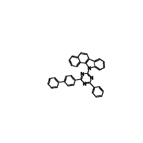 c1ccc(-c2ccc(-c3nc(-c4ccccc4)nc(-n4c5ccccc5c5ccc6ccccc6c54)n3)cc2)cc1